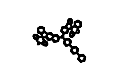 c1ccc(-c2ccc(-c3ccc(N(c4ccc5c(c4)C4(c6ccccc6Oc6ccccc64)c4ccccc4-5)c4ccc5cc6c(cc5c4)-c4ccccc4C64c5ccccc5Sc5ccccc54)cc3)cc2)cc1